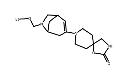 CCOCN1CC2C=C(N3CCC4(CC3)CNC(=O)O4)CC1C2